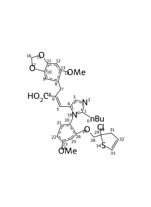 CCCCc1ncc(/C=C(\Cc2cc3c(cc2OC)OCO3)C(=O)O)n1-c1ccc(OC)cc1OCC1(Cl)CC=CS1